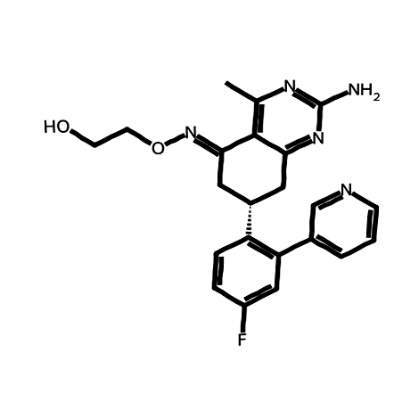 Cc1nc(N)nc2c1/C(=N/OCCO)C[C@@H](c1ccc(F)cc1-c1cccnc1)C2